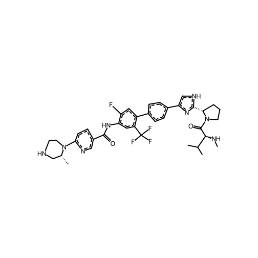 CN[C@H](C(=O)N1CCC[C@H]1c1nc(-c2ccc(-c3cc(F)c(NC(=O)c4ccc(N5CCNC[C@H]5C)nc4)cc3C(F)(F)F)cc2)c[nH]1)C(C)C